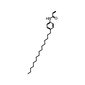 C=CC(=O)Nc1ccc(CCCCCCCCCCCCCCCC)cc1